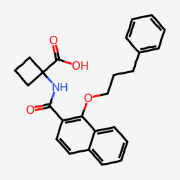 O=C(NC1(C(=O)O)CCC1)c1ccc2ccccc2c1OCCCc1ccccc1